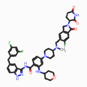 CN(Cc1cc2c(cc1F)C(=O)N(C1CCC(=O)NC1=O)C2)C1CCN(c2ccc(C(=O)Nc3n[nH]c4ccc(Cc5cc(F)cc(F)c5)cc34)c(NC3CCOCC3)c2)CC1